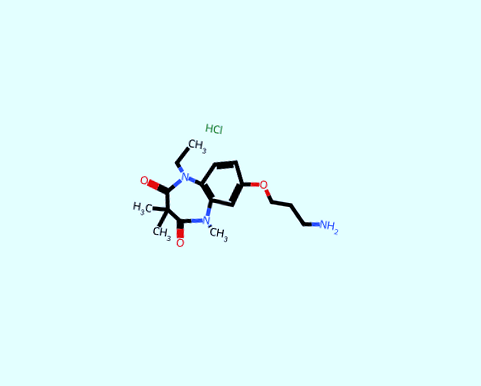 CCN1C(=O)C(C)(C)C(=O)N(C)c2cc(OCCCN)ccc21.Cl